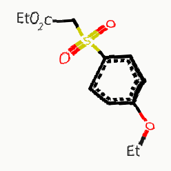 CCOC(=O)CS(=O)(=O)c1ccc(OCC)cc1